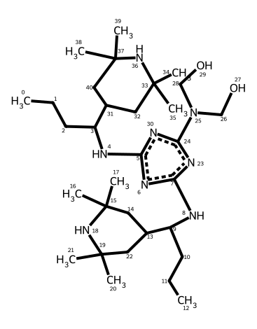 CCCC(Nc1nc(NC(CCC)C2CC(C)(C)NC(C)(C)C2)nc(N(CO)CO)n1)C1CC(C)(C)NC(C)(C)C1